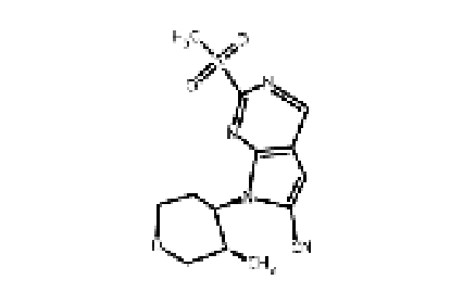 C[C@H]1COCC[C@H]1n1c(C#N)cc2cnc(S(C)(=O)=O)nc21